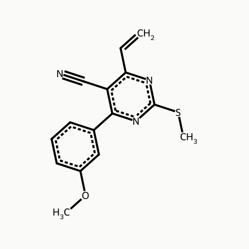 C=Cc1nc(SC)nc(-c2cccc(OC)c2)c1C#N